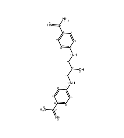 N=C(N)c1ccc(NCC(O)CNc2ccc(C(=N)N)cc2)cc1